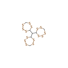 C1SSSC(C(C2SSCSSS2)C2SSCSSS2)SS1